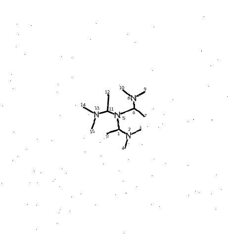 CC(N(C)C)N(C(C)N(C)C)C(C)N(C)C